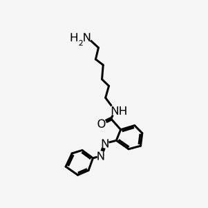 NCCCCCCNC(=O)c1ccccc1N=Nc1ccccc1